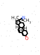 CC[C@]12CC[C@H]3[C@@H](C=CC4=CC(=O)CC[C@@H]43)[C@@H]1CC[C@]2(C)C#N